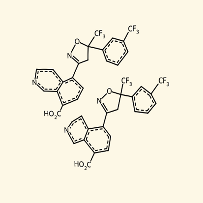 O=C(O)c1ccc(C2=NOC(c3cccc(C(F)(F)F)c3)(C(F)(F)F)C2)c2ccncc12.O=C(O)c1ccc(C2=NOC(c3cccc(C(F)(F)F)c3)(C(F)(F)F)C2)c2ccncc12